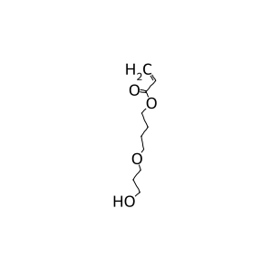 C=CC(=O)OCCCCOCCCO